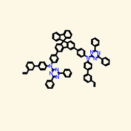 C=CC1=CC=CC(c2ccc(N(c3ccc(-c4ccc5c(c4)-c4cc(-c6ccc(N(c7ccc(-c8cccc(C=C)c8)cc7)c7nc(-c8ccccc8)nc(-c8ccccc8)n7)cc6)ccc4C54c5ccccc5-c5ccccc54)cc3)c3nc(-c4ccccc4)nc(-c4ccccc4)n3)cc2)C1